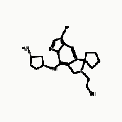 N[C@H]1CC[C@H](Nc2c3c(nc4c(Br)cnn24)C2(CCCC2)N(CCO)C3)C1